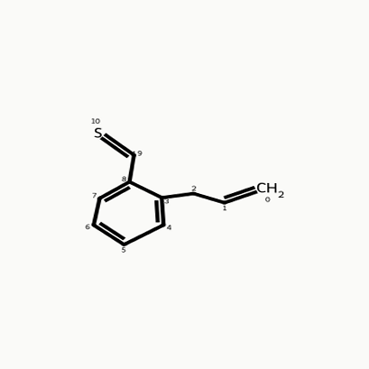 C=CCc1ccccc1[C]=S